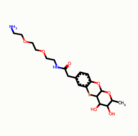 CC1OC2Oc3ccc(CC(=O)NCCOCCOCCN)cc3SC2C(O)C1O